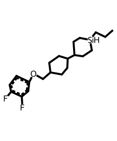 CCC[SiH]1CCC(C2CCC(COc3ccc(F)c(F)c3)CC2)CC1